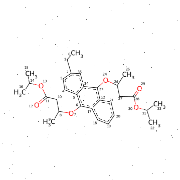 CCc1ccc2c(OC(C)CC(=O)OC(C)C)c3ccccc3c(OC(C)CC(=O)OC(C)C)c2c1